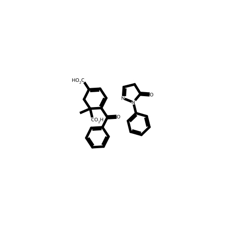 CC1(C(=O)O)CC(C(=O)O)=CC=C1C(=O)c1ccccc1.O=C1CC=NN1c1ccccc1